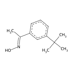 CC(=NO)c1cccc(C(C)(C)C)c1